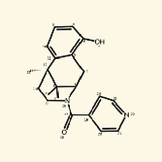 CC1(C)C2Cc3c(O)cccc3[C@]1(C)CCN2C(=O)c1ccncc1